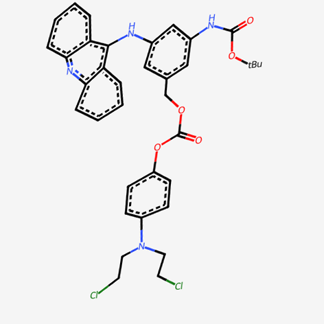 CC(C)(C)OC(=O)Nc1cc(COC(=O)Oc2ccc(N(CCCl)CCCl)cc2)cc(Nc2c3ccccc3nc3ccccc23)c1